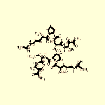 CC(=O)N[C@@H](CCCNC(=N)N)C(=O)N1CCC[C@H]1C(=O)N[C@@H](CC(=O)O)C(=O)N[C@H](C(=O)C(N)=O)C(C)C.CC(C)[C@H](NC(=O)[C@H](CC(=O)O)NC(=O)[C@@H]1CCCN1C(=O)[C@@H](N)CCCNC(=N)N)C(=O)C(N)=O